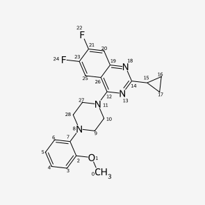 COc1ccccc1N1CCN(c2nc(C3CC3)nc3cc(F)c(F)cc23)CC1